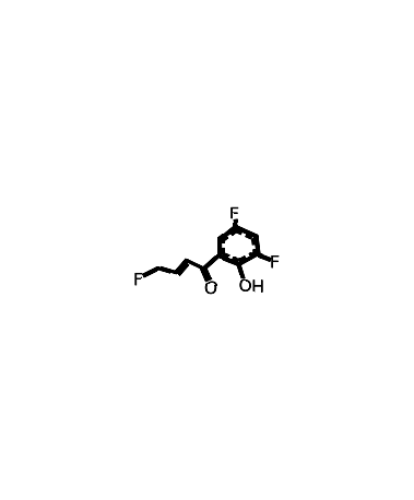 O=C(/C=C/CF)c1cc(F)cc(F)c1O